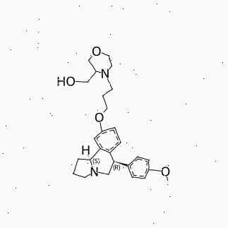 COc1ccc([C@H]2CN3CCC[C@H]3c3cc(OCCCN4CCOCC4CO)ccc32)cc1